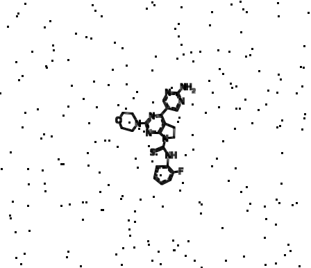 Nc1ncc(-c2nc(N3CCOCC3)nc3c2CCN3C(=S)Nc2ccccc2F)cn1